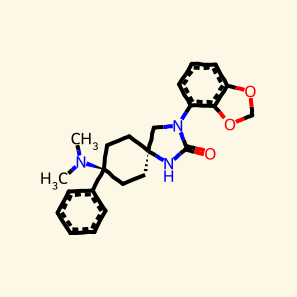 CN(C)[C@]1(c2ccccc2)CC[C@]2(CC1)CN(c1cccc3c1OCO3)C(=O)N2